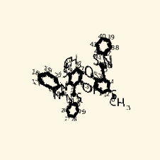 CSc1ccc(Oc2cc(SC)c(-n3cnc4ccccc43)c(-c3nc4ccccc4s3)c2O)c(-c2nc3ccccc3s2)c1